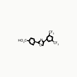 O=C(O)c1ccc(-c2nc(-c3cc(C(F)(F)F)cc(C(F)(F)F)c3)co2)cc1